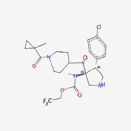 CN(C(=O)OCC(F)(F)F)[C@]1(C(=O)C2CCN(C(=O)C3(C)CC3)CC2)CNC[C@H]1c1ccc(Cl)cc1